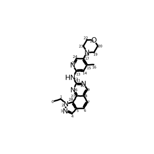 CCn1ncc2ccc3cnc(Nc4cc(C)c(N5CCOCC5)cn4)nc3c21